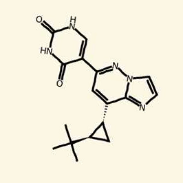 CC(C)(C)[C@@H]1C[C@H]1c1cc(-c2c[nH]c(=O)[nH]c2=O)nn2ccnc12